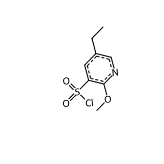 CCc1cnc(OC)c(S(=O)(=O)Cl)c1